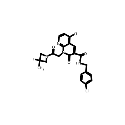 CC1(F)CN(C(=O)Cn2c(=O)c(C(=O)NCc3ccc(Cl)cc3)cc3c(Cl)ccnc32)C1